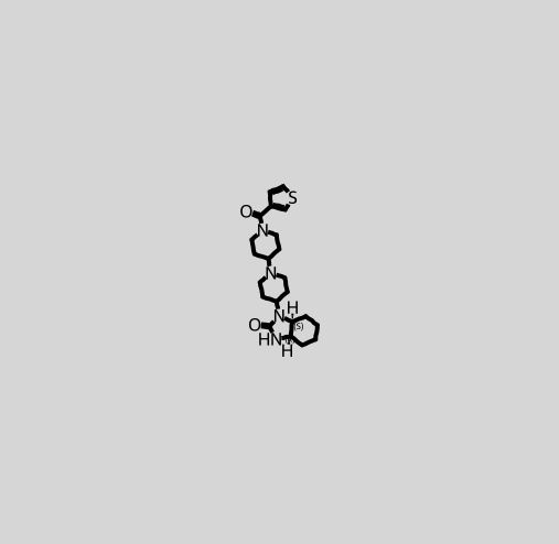 O=C(c1ccsc1)N1CCC(N2CCC(N3C(=O)N[C@@H]4CCCC[C@@H]43)CC2)CC1